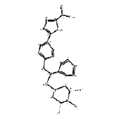 CC(=O)N1[C@H](C)CN(ON(Cc2ccc(-c3nnc(C(F)F)o3)cc2)c2ccccc2)C[C@@H]1C